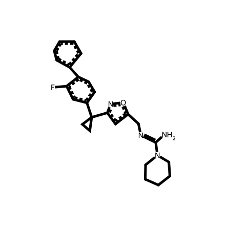 N/C(=N\Cc1cc(C2(c3ccc(-c4ccccc4)c(F)c3)CC2)no1)N1CCCCC1